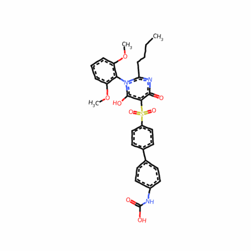 CCCCc1nc(=O)c(S(=O)(=O)c2ccc(-c3ccc(NC(=O)O)cc3)cc2)c(O)n1-c1c(OC)cccc1OC